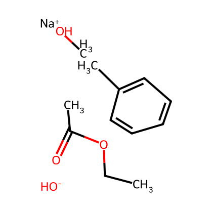 CCOC(C)=O.CO.Cc1ccccc1.[Na+].[OH-]